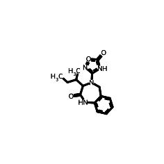 CCC(C)C1C(=O)Nc2ccccc2CN1c1noc(=O)[nH]1